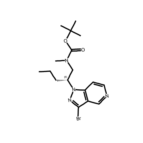 CCC[C@H](CN(C)C(=O)OC(C)(C)C)n1nc(Br)c2cnccc21